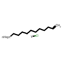 C=CCCCCCCCCCCCCCCCC.[Cl][V]